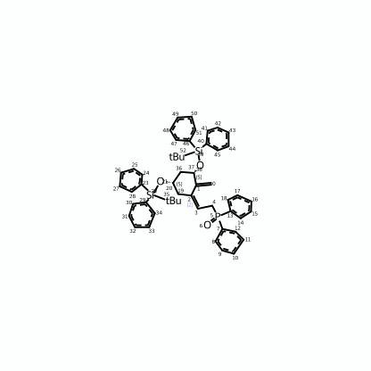 C=C1/C(=C\CP(=O)(c2ccccc2)c2ccccc2)C[C@H](O[Si](c2ccccc2)(c2ccccc2)C(C)(C)C)C[C@@H]1O[Si](c1ccccc1)(c1ccccc1)C(C)(C)C